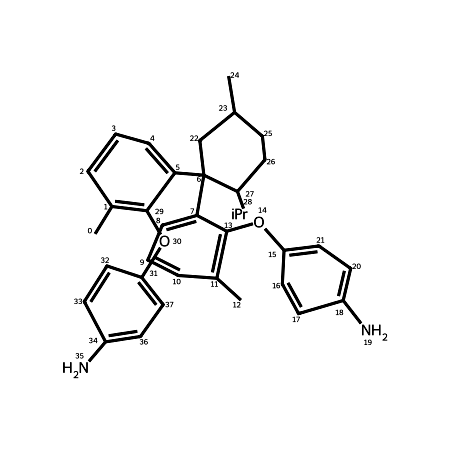 Cc1cccc(C2(c3cccc(C)c3Oc3ccc(N)cc3)CC(C)CCC2C(C)C)c1Oc1ccc(N)cc1